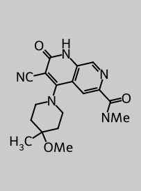 CNC(=O)c1cc2c(N3CCC(C)(OC)CC3)c(C#N)c(=O)[nH]c2cn1